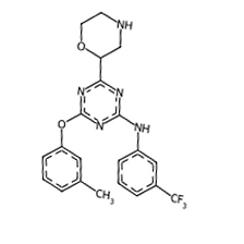 Cc1cccc(Oc2nc(Nc3cccc(C(F)(F)F)c3)nc(C3CNCCO3)n2)c1